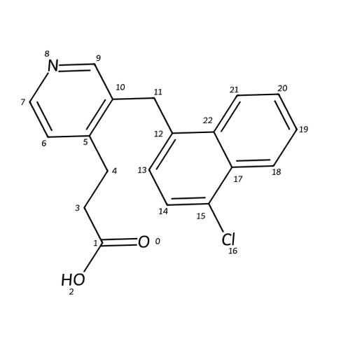 O=C(O)CCc1ccncc1Cc1ccc(Cl)c2ccccc12